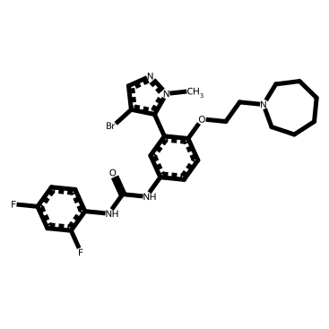 Cn1ncc(Br)c1-c1cc(NC(=O)Nc2ccc(F)cc2F)ccc1OCCN1CCCCCC1